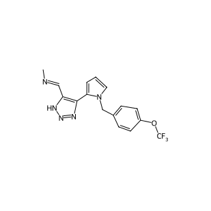 C/N=C/c1[nH]nnc1-c1cccn1Cc1ccc(OC(F)(F)F)cc1